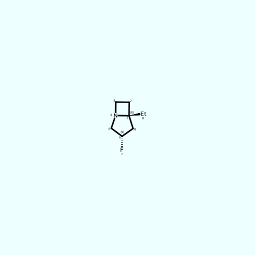 CC[C@]12CCN1C[C@@H](F)C2